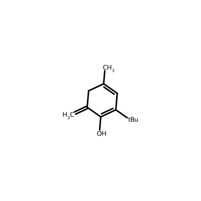 C=C1CC(C)=CC(C(C)(C)C)=C1O